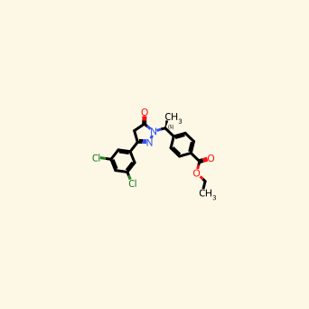 CCOC(=O)c1ccc([C@H](C)N2N=C(c3cc(Cl)cc(Cl)c3)CC2=O)cc1